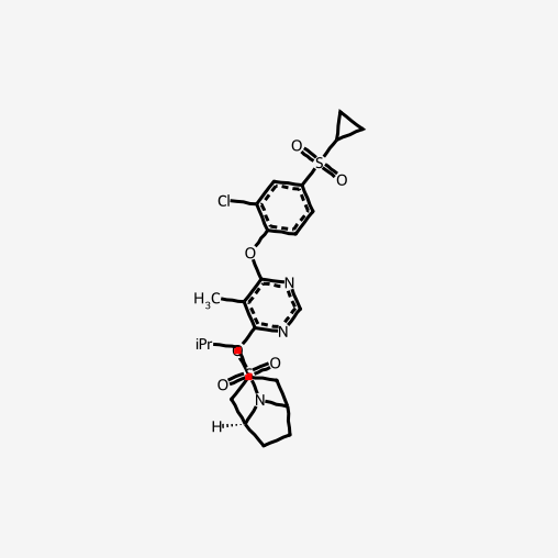 Cc1c(Oc2ccc(S(=O)(=O)C3CC3)cc2Cl)ncnc1O[C@H]1CC2CC[C@@H](C1)N2S(=O)(=O)CC(C)C